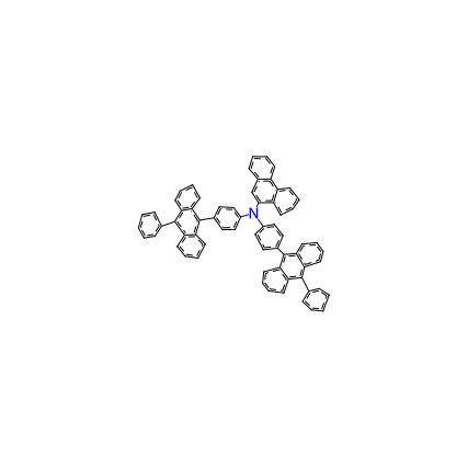 c1ccc(-c2c3ccccc3c(-c3ccc(N(c4ccc(-c5c6ccccc6c(-c6ccccc6)c6ccccc56)cc4)c4cc5ccccc5c5ccccc45)cc3)c3ccccc23)cc1